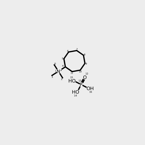 C[N+](C)(C)C1CCCCCCC1.O=P(O)(O)O